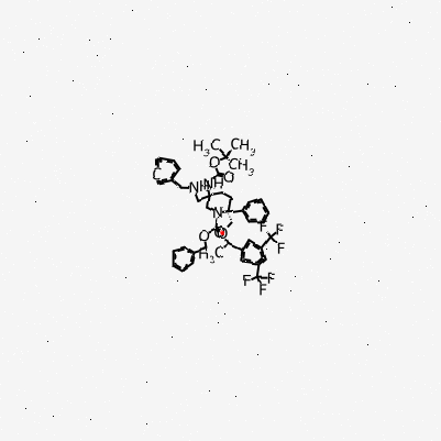 C[C@@H](OC[C@@]1(c2ccccc2)CCC(CNCc2ccccc2)(NC(=O)OC(C)(C)C)CN1C(=O)OCc1ccccc1)c1cc(C(F)(F)F)cc(C(F)(F)F)c1